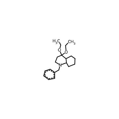 CCOC1(OCC)CCN(Cc2ccccc2)C2CCCCC21